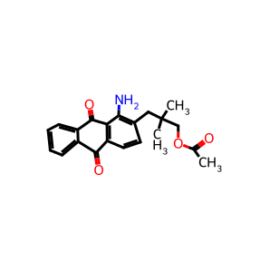 CC(=O)OCC(C)(C)Cc1ccc2c(c1N)C(=O)c1ccccc1C2=O